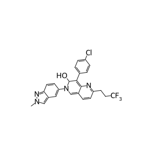 Cn1cc2cc(N3C=c4ccc(CCC(F)(F)F)nc4=C(c4ccc(Cl)cc4)C3O)ccc2n1